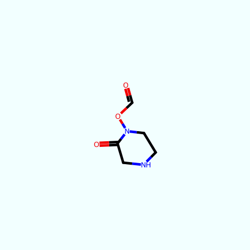 O=CON1CCNCC1=O